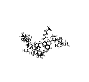 C=C[C@@H]1C[C@]1(NC(=O)[C@@H]1CC(Oc2nc3ccccc3c(OC[C@H]3CN(C(=O)OC(C)(C)C)CCO3)c2CCCCCC2CC2)CN1C(=O)[C@@H](NC(=O)O)C(C)(C)C)C(=O)NS(=O)(=O)C1(C)CC1